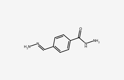 NN=Cc1ccc(C(=O)NN)cc1